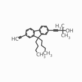 C#Cc1ccc2c(c1)C(CCCC)(CCCC)c1cc(C#CC(C)(C)O)ccc1-2